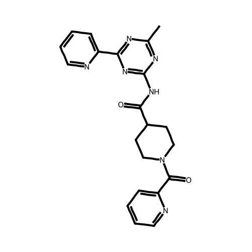 Cc1nc(NC(=O)C2CCN(C(=O)c3ccccn3)CC2)nc(-c2ccccn2)n1